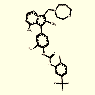 Cc1cc(-c2c(C)c(CN3CCCOCC3)n3ncnc(N)c23)ccc1NC(=O)Nc1cc(C(F)(F)F)ccc1F